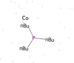 CCCCP(CCCC)CCCC.[Co]